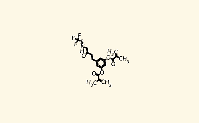 C=C(C)C(=O)Oc1cc(CCC(=O)CNSC(F)(F)F)cc(OC(=O)C(=C)C)c1